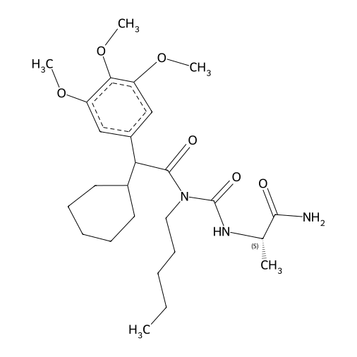 CCCCCN(C(=O)N[C@@H](C)C(N)=O)C(=O)C(c1cc(OC)c(OC)c(OC)c1)C1CCCCC1